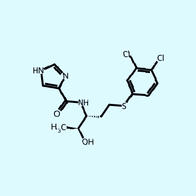 C[C@H](O)[C@@H](CCSc1ccc(Cl)c(Cl)c1)NC(=O)c1c[nH]cn1